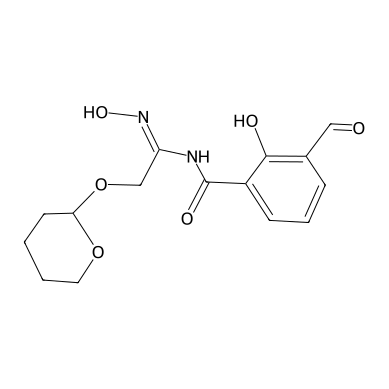 O=Cc1cccc(C(=O)N/C(COC2CCCCO2)=N/O)c1O